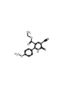 CCOC(=O)c1cc(C#N)c(=S)[nH]c1-c1ccc(OC)cc1